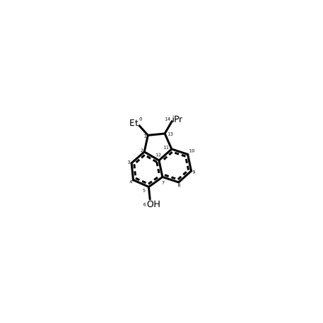 CCC1c2ccc(O)c3cccc(c23)C1C(C)C